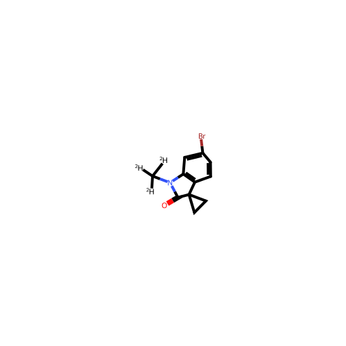 [2H]C([2H])([2H])N1C(=O)C2(CC2)c2ccc(Br)cc21